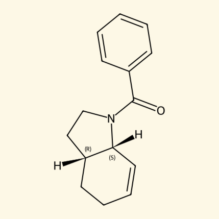 O=C(c1ccccc1)N1CC[C@H]2CCC=C[C@H]21